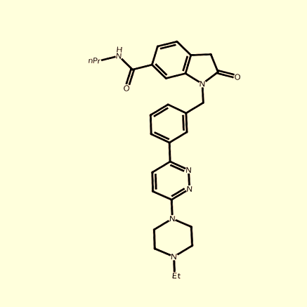 CCCNC(=O)c1ccc2c(c1)N(Cc1cccc(-c3ccc(N4CCN(CC)CC4)nn3)c1)C(=O)C2